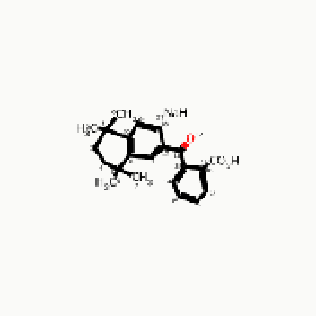 CC1(C)CCC(C)(C)c2cc(C(=O)c3ccccc3C(=O)O)ccc21.[NaH]